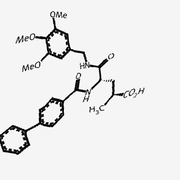 COc1cc(CNC(=O)[C@H](C[C@H](C)C(=O)O)NC(=O)c2ccc(-c3ccccc3)cc2)cc(OC)c1OC